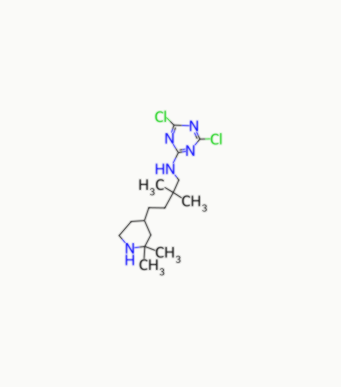 CC(C)(CCC1CCNC(C)(C)C1)CNc1nc(Cl)nc(Cl)n1